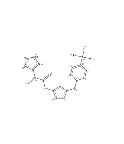 O=C(Cc1cc(Sc2ccc(C(F)(F)F)cc2)co1)C(=O)c1nc[nH]n1